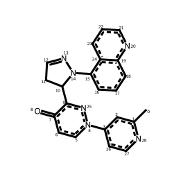 Cc1cc(-n2ccc(=O)c(C3CC=NN3c3cccc4ncccc34)n2)ccn1